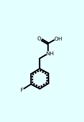 O=C(O)NCc1cccc(F)c1